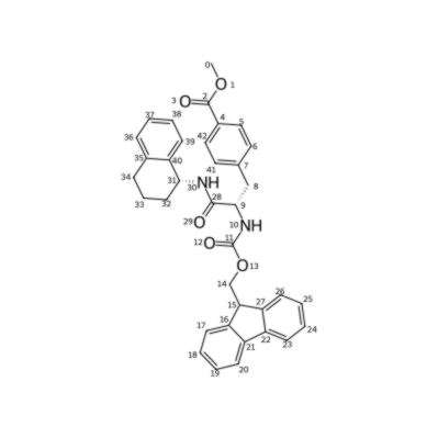 COC(=O)c1ccc(C[C@H](NC(=O)OCC2c3ccccc3-c3ccccc32)C(=O)N[C@@H]2CCCc3ccccc32)cc1